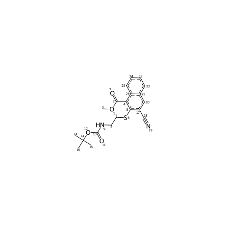 COC(=O)c1c(SCCNC(=O)OC(C)(C)C)c(C#N)cc2ccccc12